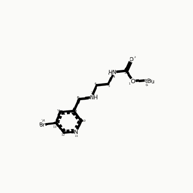 CC(C)(C)OC(=O)NCCNCc1cncc(Br)c1